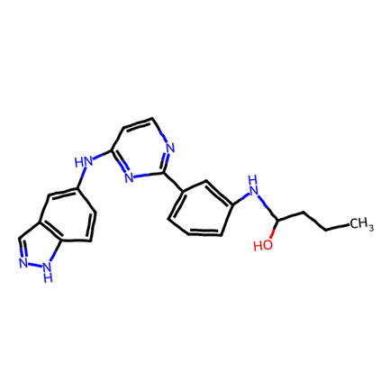 CCCC(O)Nc1cccc(-c2nccc(Nc3ccc4[nH]ncc4c3)n2)c1